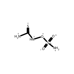 NC(=S)NOS(N)(=O)=O